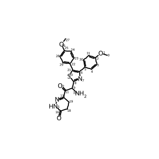 COc1ccc(-c2nc(C(N)C(=O)C3=NNC(=O)CC3)sc2-c2ccc(OC)cc2)cc1